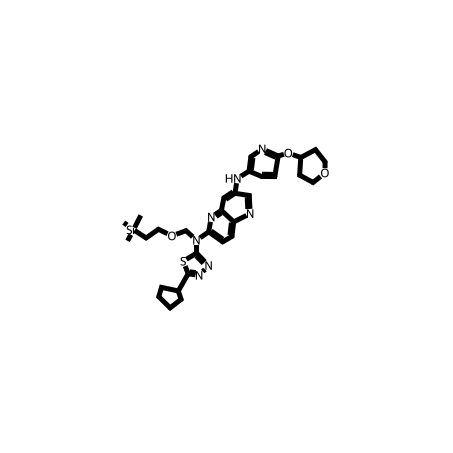 C[Si](C)(C)CCOCN(c1ccc2ncc(Nc3ccc(OC4CCOCC4)nc3)cc2n1)c1nnc(C2CCCC2)s1